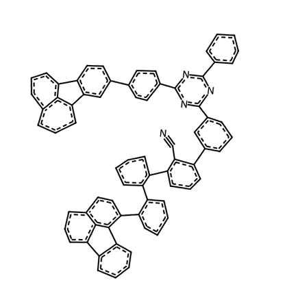 N#Cc1c(-c2cccc(-c3nc(-c4ccccc4)nc(-c4ccc(-c5ccc6c(c5)-c5cccc7cccc-6c57)cc4)n3)c2)cccc1-c1ccccc1-c1ccccc1-c1ccc2cccc3c2c1-c1ccccc1-3